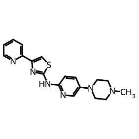 CN1CCN(c2ccc(Nc3nc(-c4ccccn4)cs3)nc2)CC1